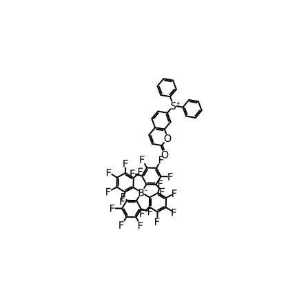 Fc1c(F)c(F)c([B-](c2c(F)c(F)c(F)c(F)c2F)(c2c(F)c(F)c(F)c(F)c2F)c2c(F)c(F)c(F)c(F)c2F)c(F)c1F.O=c1ccc2ccc([S+](c3ccccc3)c3ccccc3)cc2o1